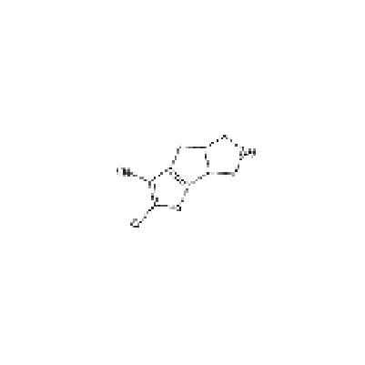 [C-]#[N+]c1c(Cl)sc2c1CC1CNCC21